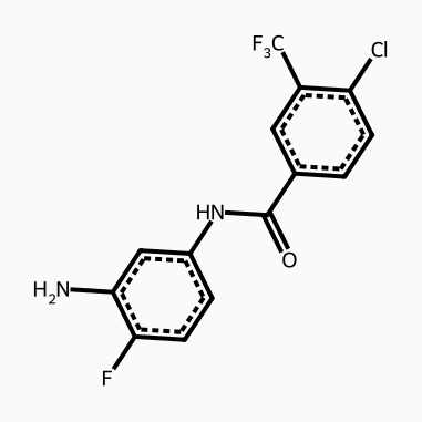 Nc1cc(NC(=O)c2ccc(Cl)c(C(F)(F)F)c2)ccc1F